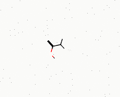 C=C(OCC)C(C=O)OC